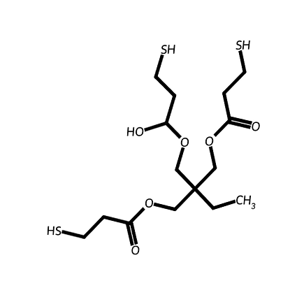 CCC(COC(=O)CCS)(COC(=O)CCS)COC(O)CCS